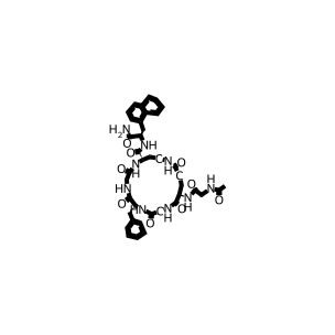 CC(=O)NCC(=O)N[C@H]1CCC(=O)NCC[C@@H](C(=O)N[C@H](Cc2cccc3ccccc23)C(N)=O)NC(=O)CNC(=O)[C@@H](Cc2ccccc2)NC(=O)CNC1=O